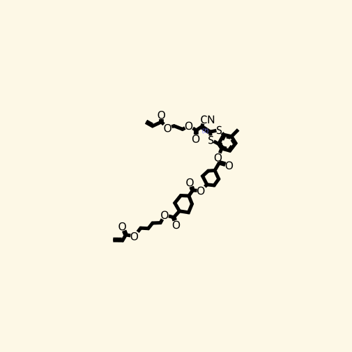 C=CC(=O)OCCCCOC(=O)C1CCC(C(=O)OC2CCC(C(=O)Oc3ccc(C)c4c3S/C(=C(/C#N)C(=O)OCCOC(=O)C=C)S4)CC2)CC1